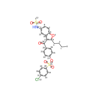 CCCCc1oc2ccc(NS(C)(=O)=O)cc2c1C(=O)c1ccc(OS(=O)(=O)c2ccc(Cl)cc2)cc1